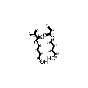 C=C(C)C(=O)OCCCCO.C=CC(=O)OCCCCO